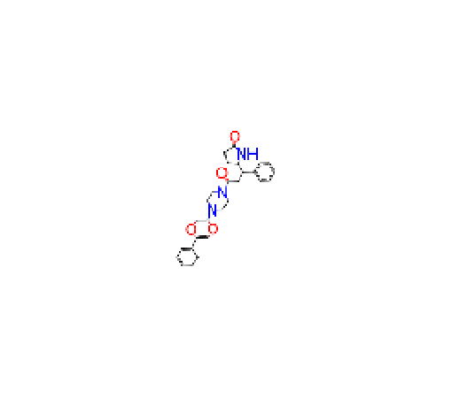 O=C1CCC(C(CC(=O)N2CCN(C3=COC(C4=CC=CCC4)=CO3)CC2)c2ccccc2)N1